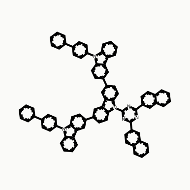 c1ccc(-c2ccc(-n3c4ccccc4c4cc(-c5ccc6c(c5)c5cc(-c7ccc8c(c7)c7ccccc7n8-c7ccc(-c8ccccc8)cc7)ccc5n6-c5nc(-c6ccc7ccccc7c6)nc(-c6ccc7ccccc7c6)n5)ccc43)cc2)cc1